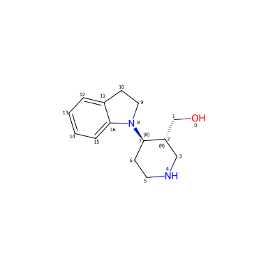 OC[C@@H]1CNCC[C@H]1N1CCc2ccccc21